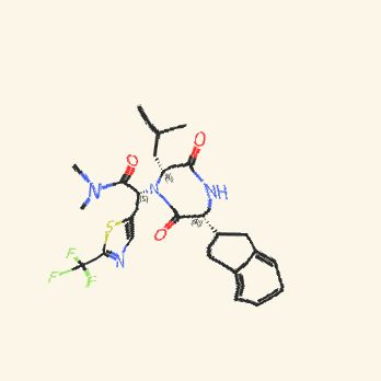 CC(C)C[C@@H]1C(=O)N[C@H](C2Cc3ccccc3C2)C(=O)N1[C@@H](C(=O)N(C)C)c1cnc(C(F)(F)F)s1